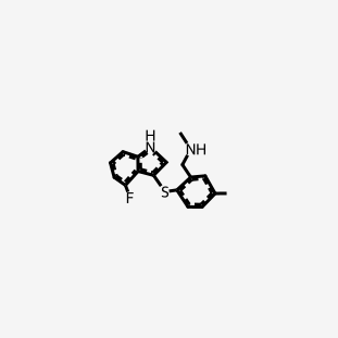 CNCc1cc(C)ccc1Sc1c[nH]c2cccc(F)c12